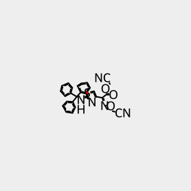 N#CCON=C(C(=O)OCC#N)c1csc(NC(c2ccccc2)(c2ccccc2)c2ccccc2)n1